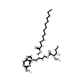 CCCCCCCCCCCCCC(=O)OC[C@H](CCOC(=O)[C@@H](N)[C@@H](C)CC)Cn1cnc2cnc(N)nc21